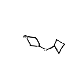 C1CC(OC2CNC2)C1